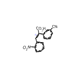 N#Cc1cccc(/C(=C\c2ccccc2[N+](=O)[O-])C(=O)O)c1